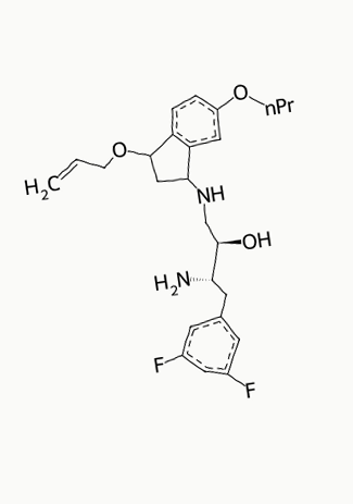 C=CCOC1CC(NC[C@@H](O)[C@@H](N)Cc2cc(F)cc(F)c2)c2cc(OCCC)ccc21